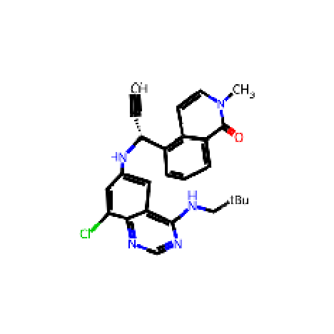 C#C[C@@H](Nc1cc(Cl)c2ncnc(NCC(C)(C)C)c2c1)c1cccc2c(=O)n(C)ccc12